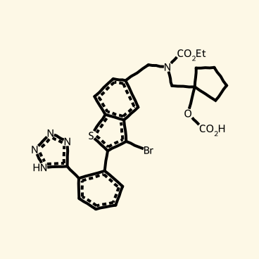 CCOC(=O)N(Cc1ccc2sc(-c3ccccc3-c3nnn[nH]3)c(Br)c2c1)CC1(OC(=O)O)CCCC1